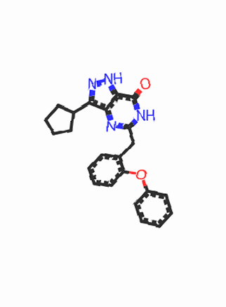 O=c1[nH]c(Cc2ccccc2Oc2ccccc2)nc2c(C3CCCC3)n[nH]c12